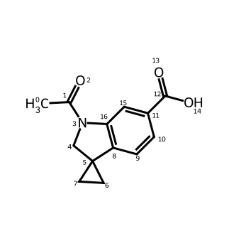 CC(=O)N1CC2(CC2)c2ccc(C(=O)O)cc21